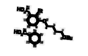 CCc1c(OCCCCOCC(C)C)cccc1C(=O)O.O=C(O)c1ccccc1